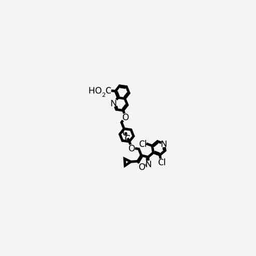 O=C(O)c1cccc2cc(OCC34CCC(OCc5c(-c6c(Cl)cncc6Cl)noc5C5CC5)(CC3)CC4)cnc12